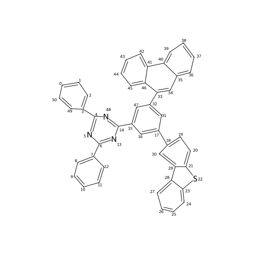 c1ccc(-c2nc(-c3ccccc3)nc(-c3cc(-c4ccc5sc6ccccc6c5c4)cc(-c4cc5ccccc5c5ccccc45)c3)n2)cc1